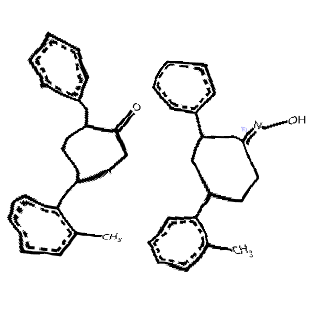 Cc1ccccc1C1CC/C(=N\O)C(c2ccccc2)C1.Cc1ccccc1C1CCC(=O)C(c2ccccc2)C1